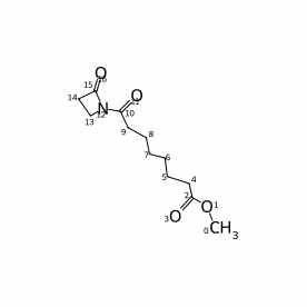 COC(=O)CCCCCCC(=O)N1CCC1=O